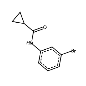 O=C(Nc1cccc(Br)c1)C1CC1